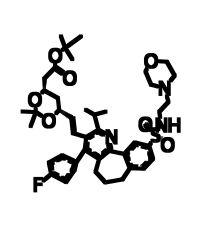 CC(C)c1nc2c(c(-c3ccc(F)cc3)c1/C=C/[C@@H]1C[C@H](CC(=O)OC(C)(C)C)OC(C)(C)O1)CCCc1ccc(S(=O)(=O)NCCN3CCOCC3)cc1-2